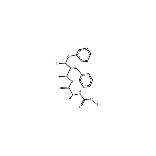 CC[C@@H](Oc1ccccc1)[C@@H](Cc1ccccc1)[C@H](C)OC(=O)[C@H](C)NC(=O)OC(C)(C)C